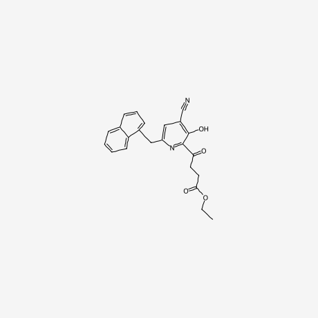 CCOC(=O)CCC(=O)c1nc(Cc2cccc3ccccc23)cc(C#N)c1O